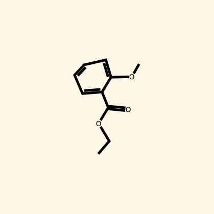 CCOC(=O)c1cc[c]cc1OC